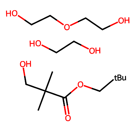 CC(C)(C)COC(=O)C(C)(C)CO.OCCO.OCCOCCO